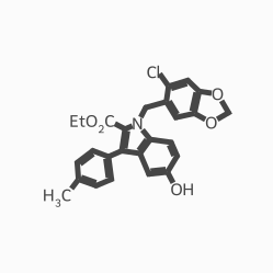 CCOC(=O)c1c(-c2ccc(C)cc2)c2cc(O)ccc2n1Cc1cc2c(cc1Cl)OCO2